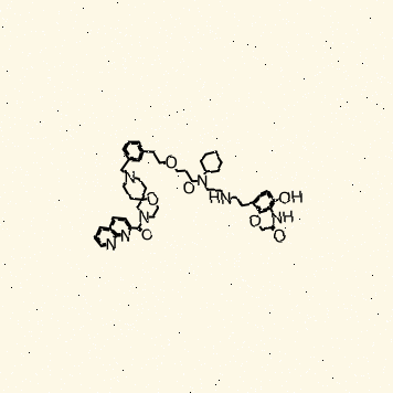 O=C1COc2c(CCNCCN(C(=O)CCOCCc3cccc(CN4CCC5(CC4)CN(C(=O)c4ccc6cccnc6n4)CCO5)c3)C3CCCCC3)ccc(O)c2N1